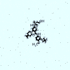 COc1ccc(NC(=O)c2cnc(NS(=O)(=O)CCO)cc2N2CCC3(CC2)CC3)nc1N1CC(F)(F)C1